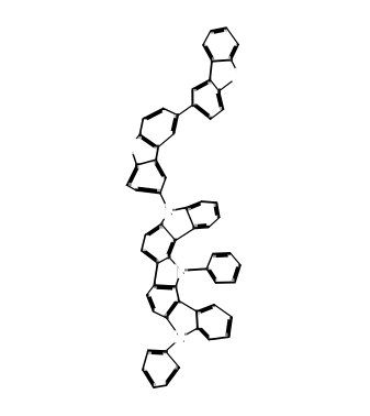 c1ccc(-n2c3ccccc3c3c2ccc2c4ccc5c(c6ccccc6n5-c5ccc6oc7ccc(-c8ccc9oc%10ccccc%10c9c8)cc7c6c5)c4n(-c4ccccc4)c23)cc1